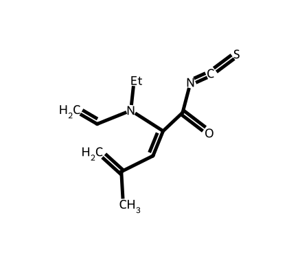 C=CN(CC)/C(=C\C(=C)C)C(=O)N=C=S